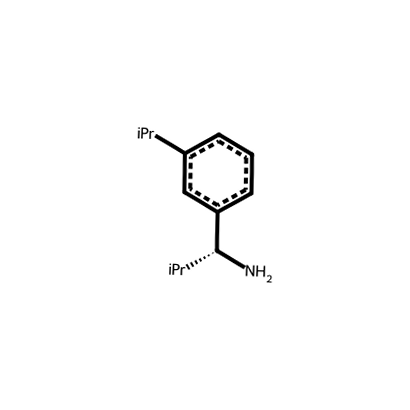 CC(C)c1cccc([C@H](N)C(C)C)c1